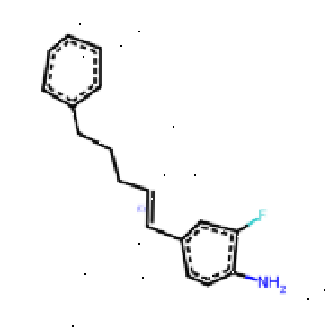 Nc1ccc(/C=C/CCCc2ccccc2)cc1F